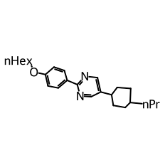 CCCCCCOc1ccc(-c2ncc(C3CCC(CCC)CC3)cn2)cc1